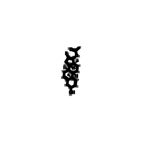 CC(=O)OC1=C(F)C[C@H]2[C@@H]3CC=C4CC(O)C=C[C@]4(C)[C@@H]3CC[C@]12C